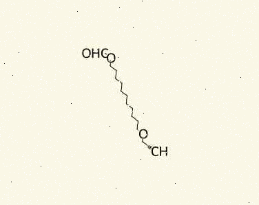 C#CCOCCCCCCCCCCCOC=O